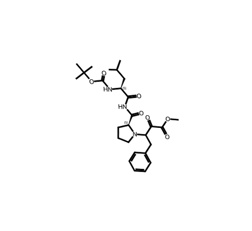 COC(=O)C(=O)C(Cc1ccccc1)N1CCC[C@H]1C(=O)NC(=O)[C@H](CC(C)C)NC(=O)OC(C)(C)C